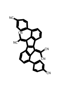 N#CC(C#N)=C1C2=C(C(=C(C#N)C#N)c3c2cccc3-c2ccc(C#N)cc2)c2cccc(-c3ccc(C#N)cc3)c21